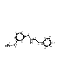 CCCOc1cccc(CNCCc2ccncc2)c1